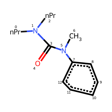 CCCN(CCC)C(=O)N(C)c1ccccc1